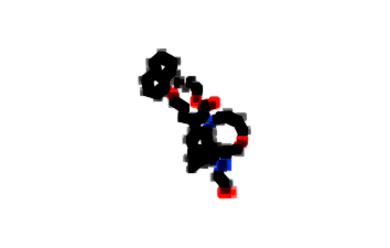 CCOC(=O)c1c(CCCOc2cccc3ccccc23)c2cccc3c2n1C/C=C\COCc1nn(CCO)c(C2CC2)c1-3